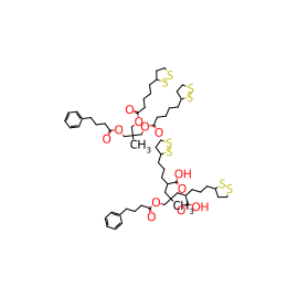 CC(COC(=O)CCCCC1CCSS1)(COC(=O)CCCCC1CCSS1)COC(=O)CCCc1ccccc1.CC(COC(=O)CCCc1ccccc1)(CC(CCCC1CCSS1)C(=O)O)CC(CCCC1CCSS1)C(=O)O